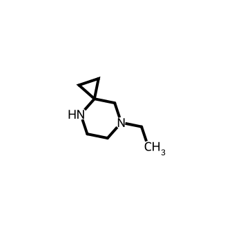 CCN1CCNC2(CC2)C1